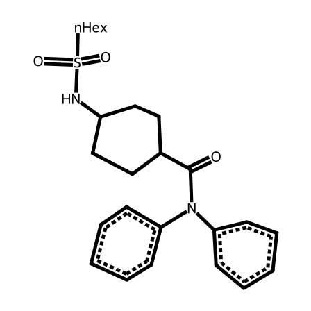 CCCCCCS(=O)(=O)NC1CCC(C(=O)N(c2ccccc2)c2ccccc2)CC1